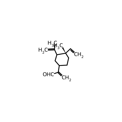 C=C[C@]1(C)CCC(C(=C)C=O)CC1C(=C)C